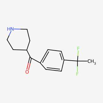 CC(F)(F)c1ccc(C(=O)C2CCNCC2)cc1